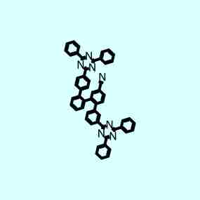 N#Cc1ccc(-c2cccc(-c3nc(C4=CCCC=C4)nc(-c4ccccc4)n3)c2)c(-c2ccccc2-c2ccc(-c3nc(-c4ccccc4)nc(-c4ccccc4)n3)cc2)c1